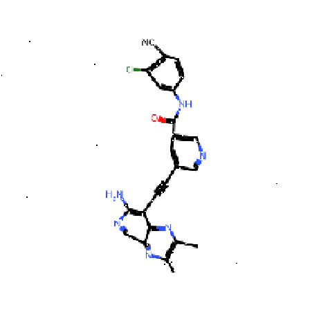 Cc1nc2cnc(N)c(C#Cc3cncc(C(=O)Nc4ccc(C#N)c(Cl)c4)c3)c2nc1C